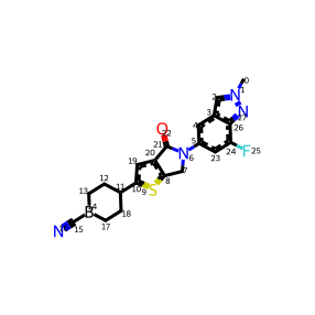 Cn1cc2cc(N3Cc4sc(C5CCB(C#N)CC5)cc4C3=O)cc(F)c2n1